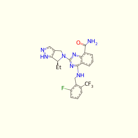 CC[C@H]1c2[nH]ncc2CN1c1nc(NCc2c(F)cccc2C(F)(F)F)c2cccc(C(N)=O)c2n1